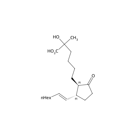 CCCCCCC=C[C@H]1CCC(=O)[C@@H]1CCCCC(C)(O)C(=O)O